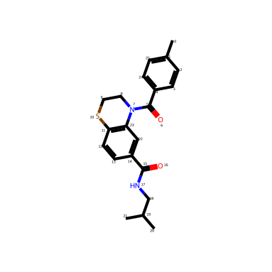 Cc1ccc(C(=O)N2CCSc3ccc(C(=O)NCC(C)C)cc32)cc1